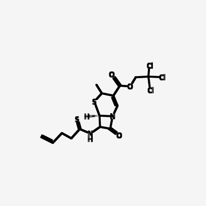 C=CCCC(=S)NC1C(=O)N2C=C(C(=O)OCC(Cl)(Cl)Cl)C(C)S[C@H]12